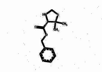 CC1(C)SCN[C@@H]1C(=O)OCc1ccccc1